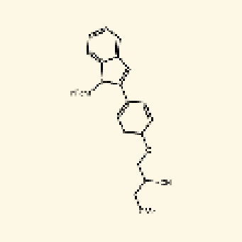 CCCCCn1c(C2=CCC(OCC(O)COC)C=C2)cc2ccccc21